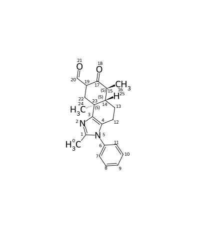 Cc1nc2c(n1-c1ccccc1)CC[C@H]1[C@H](C)C(=O)C(C=O)C[C@]21C